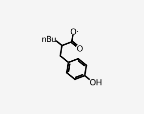 CCCCC(Cc1ccc(O)cc1)C([O])=O